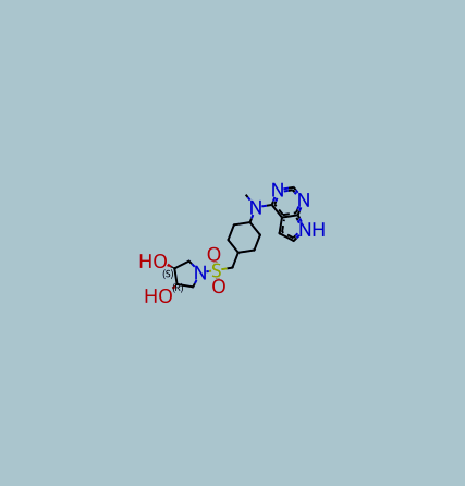 CN(c1ncnc2[nH]ccc12)C1CCC(CS(=O)(=O)N2C[C@@H](O)[C@@H](O)C2)CC1